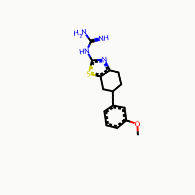 COc1cccc(C2CCc3nc(NC(=N)N)sc3C2)c1